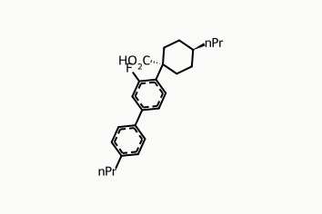 CCCc1ccc(-c2ccc([C@]3(C(=O)O)CC[C@H](CCC)CC3)c(F)c2)cc1